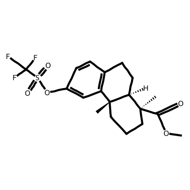 COC(=O)[C@@]1(C)CCC[C@]2(C)c3cc(OS(=O)(=O)C(F)(F)F)ccc3CC[C@@H]12